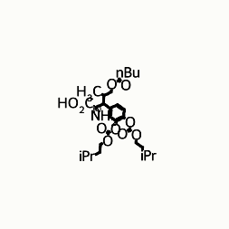 CCCCC(=O)OCC(C)C(c1ccc(OC(=O)OCCC(C)C)c(OC(=O)OCCC(C)C)c1)[C@H](N)C(=O)O